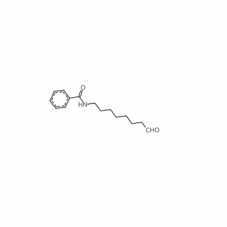 O=CCCCCCCCNC(=O)c1ccccc1